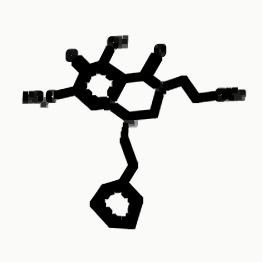 COCCN1C[C@H](CCc2ccccc2)n2cc(C(=O)O)c(=O)c(O)c2C1=O